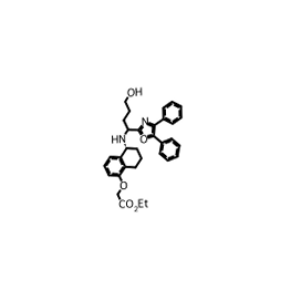 CCOC(=O)COc1cccc2c1CCC[C@H]2NC(CCCO)c1nc(-c2ccccc2)c(-c2ccccc2)o1